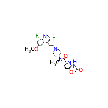 COc1cc(F)c2ncc(F)c(CCN3CCC(N(C)C(=O)c4ccc5c(n4)NC(=O)CO5)CC3)c2c1